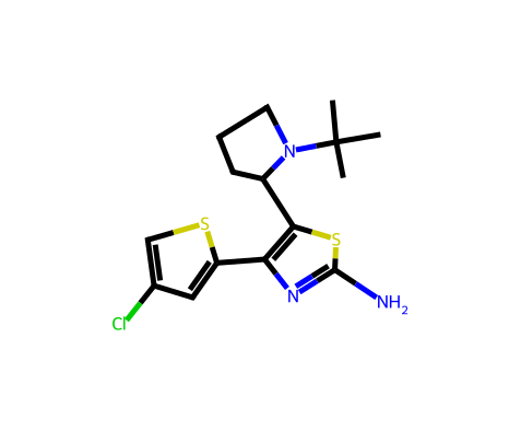 CC(C)(C)N1CCCC1c1sc(N)nc1-c1cc(Cl)cs1